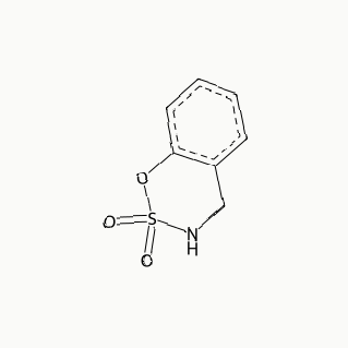 O=S1(=O)NCc2ccccc2O1